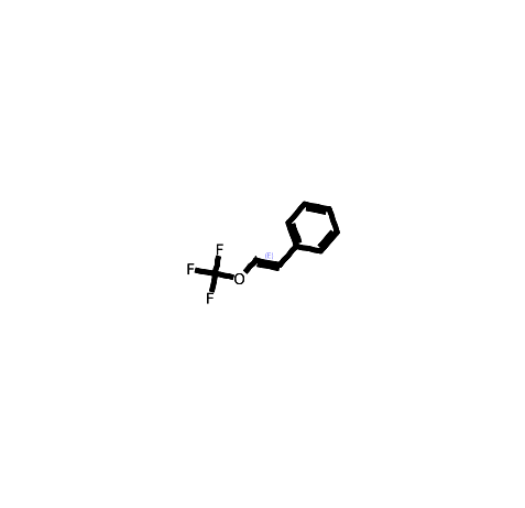 FC(F)(F)O/[C]=C/c1ccccc1